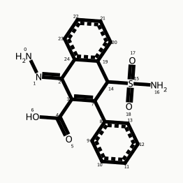 NN=C1C(C(=O)O)=C(c2ccccc2)C(S(N)(=O)=O)c2ccccc21